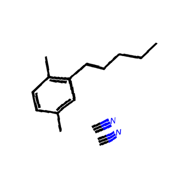 C#N.C#N.CCCCCc1cc(C)ccc1C